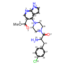 COC(=O)c1cnc2[nH]ccc2c1N1CCN(C(=O)C(N)Cc2ccc(Cl)cc2)CC1